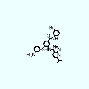 CC(C)c1ccc2c(Nc3cc(C(=O)Nc4cccc(Br)c4)ccc3Sc3cccc(N)c3)ncnc2n1